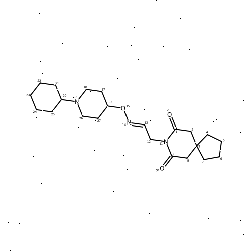 O=C1CC2(CCCC2)CC(=O)N1C/C=N/OC1CCN(C2CCCCC2)CC1